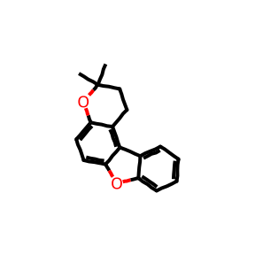 CC1(C)CCc2c(ccc3oc4ccccc4c23)O1